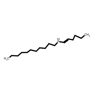 CCCCC=CPCCCCCCCCCCC